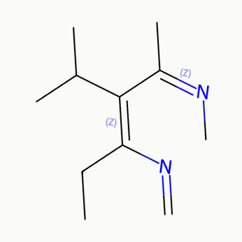 C=N/C(CC)=C(\C(C)=N/C)C(C)C